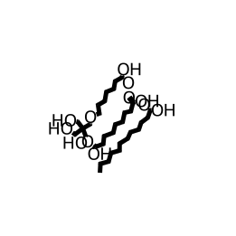 CCCCCCCCCCCC(=O)O.O=C(O)CCCCCCCC(=O)O.O=C(O)CCCCCCOCC(CO)(CO)CO